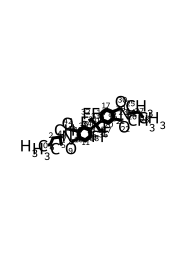 CCCC(C)(CC)N1C(=O)c2ccc(C(c3ccc4c(c3)C(=O)N(C(C)(C)CC)C4=O)(C(F)(F)F)C(F)(F)F)cc2C1=O